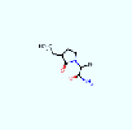 CCC(C(N)=O)N1CCC(CC(=O)O)C1=O